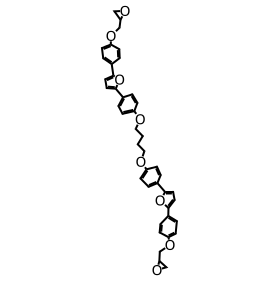 c1cc(-c2ccc(-c3ccc(OCC4CO4)cc3)o2)ccc1OCCCCOc1ccc(-c2ccc(-c3ccc(OCC4CO4)cc3)o2)cc1